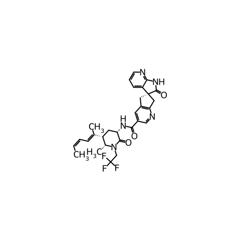 C/C=C\C=C(/C)[C@@H]1C[C@H](NC(=O)c2cnc3c(c2)C[C@@]2(C3)C(=O)Nc3ncccc32)C(=O)N(CC(F)(F)F)[C@@H]1C